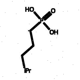 CC(C)CC[CH]P(=O)(O)O